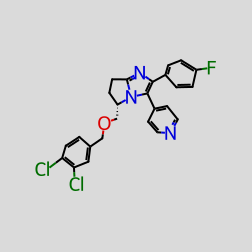 Fc1ccc(-c2nc3n(c2-c2ccncc2)[C@H](COCc2ccc(Cl)c(Cl)c2)CC3)cc1